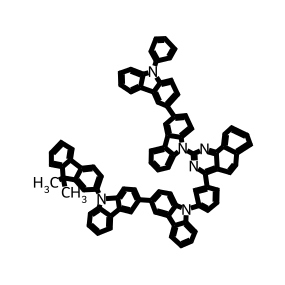 CC1(C)c2ccccc2-c2ccc(-n3c4ccccc4c4cc(-c5ccc6c(c5)c5ccccc5n6-c5cccc(-c6nc(-n7c8ccccc8c8cc(-c9ccc%10c(c9)c9ccccc9n%10-c9ccccc9)ccc87)nc7c6ccc6ccccc67)c5)ccc43)cc21